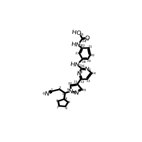 N#CCC(C1CCCC1)n1cc(-c2ccnc(Nc3cccc(NC(=O)O)c3)n2)cn1